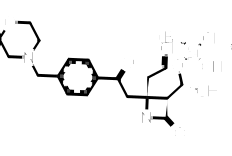 C=CC[C@]1(CC(=O)c2ccc(CN3CCOCC3)cc2)[N]C(=O)[C@@H]1[C@@H](C)O[Si](C)(C)C(C)(C)C